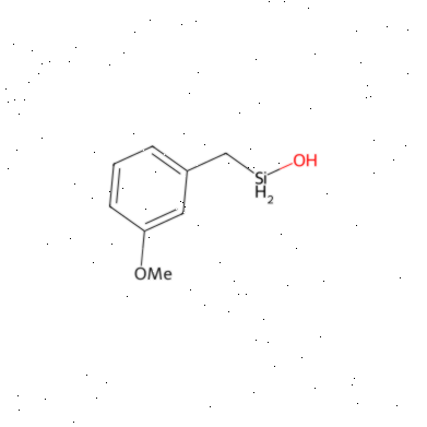 COc1cccc(C[SiH2]O)c1